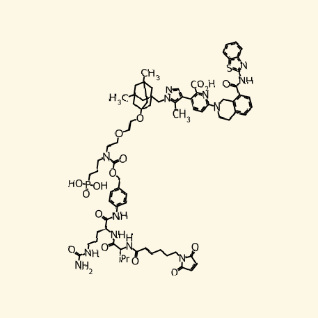 Cc1c(-c2ccc(N3CCc4cccc(C(=O)Nc5nc6ccccc6s5)c4C3)nc2C(=O)O)cnn1CC12CC3(C)CC(C)(C1)CC(OCCOCCN(CCCP(=O)(O)O)C(=O)OCc1ccc(NC(=O)[C@H](CCCNC(N)=O)NC(=O)[C@@H](NC(=O)CCCCCN4C(=O)C=CC4=O)C(C)C)cc1)(C3)C2